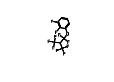 Fc1cccc(OC(F)(F)C(C(F)(F)F)C(F)(F)F)c1F